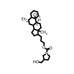 CC[C@H]1CC2C3CCC(CCCOC(=O)N4CCC(CO)C4)C3(C)CC[C@@H]2C2(C)CCCCC12